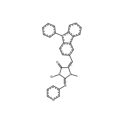 CCN1C(=O)/C(=C\c2ccc3c(c2)c2ccccc2n3-c2ccccc2)N(C)/C1=N/c1cccnc1